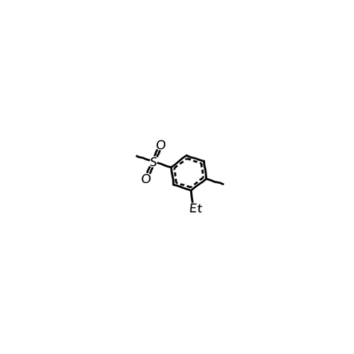 CCc1cc(S(C)(=O)=O)ccc1C